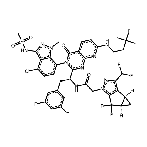 Cn1nc(NS(C)(=O)=O)c2c(Cl)ccc(-n3c([C@H](Cc4cc(F)cc(F)c4)NC(=O)Cn4nc(C(F)F)c5c4C(F)(F)[C@@H]4C[C@H]54)nc4nc(NCCC(C)(C)F)ccc4c3=O)c21